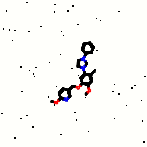 [CH2]c1cc(OC)c(OCc2ccc(OC)nc2)cc1N1C=CN(c2ccccc2)C1